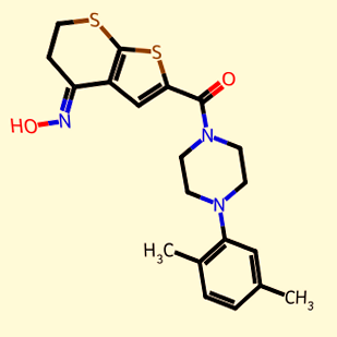 Cc1ccc(C)c(N2CCN(C(=O)c3cc4c(s3)SCCC4=NO)CC2)c1